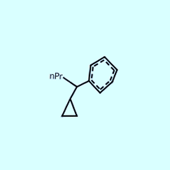 CCCC(c1ccccc1)C1CC1